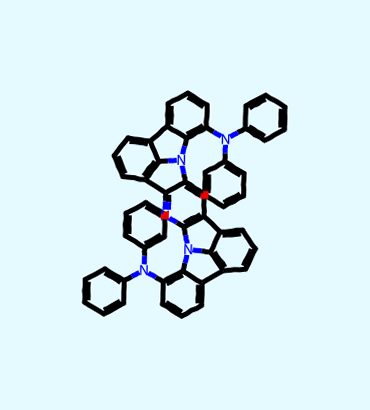 c1ccc(N(c2ccccc2)c2cccc3c4cccc5c6nc7c(cc6n(c23)c45)c2cccc3c4cccc(N(c5ccccc5)c5ccccc5)c4n7c23)cc1